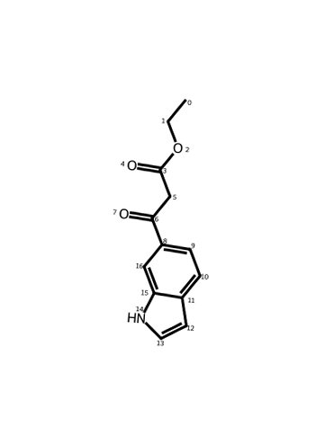 CCOC(=O)CC(=O)c1ccc2cc[nH]c2c1